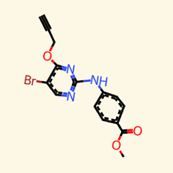 C#CCOc1nc(Nc2ccc(C(=O)OC)cc2)ncc1Br